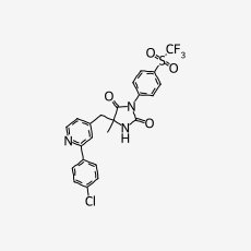 CC1(Cc2ccnc(-c3ccc(Cl)cc3)c2)NC(=O)N(c2ccc(S(=O)(=O)C(F)(F)F)cc2)C1=O